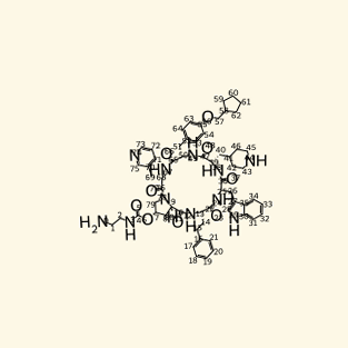 NCCNC(=O)O[C@@H]1C[C@H]2C(=O)N[C@@H](CCc3ccccc3)C(=O)N[C@H](Cc3c[nH]c4ccccc34)C(=O)N[C@@H](CC3CCNCC3)C(=O)N[C@@H](Cc3ccc(OCC4CCCC4)cc3)C(=O)N[C@@H](Cc3cccnc3)C(=O)N2C1